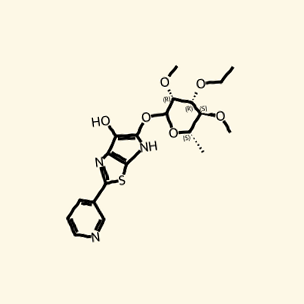 CCO[C@@H]1[C@@H](OC)[C@H](C)OC(Oc2[nH]c3sc(-c4cccnc4)nc3c2O)[C@@H]1OC